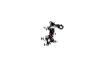 CC(CCCCN1C(=O)CC(SCCCC(=N)NC2CCCCCCCCCC2)C1=O)NC(=O)CNC(=O)C(Cc1ccccc1)NC(=O)c1ccc(CC2CN(CC(=O)O)CCN(CC(=O)O)CCN(C)CCN2CC(=O)O)cc1